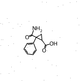 NC(=O)C1(c2ccccc2)CC1C(=O)O